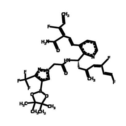 C=C/C(F)=C(\C=C\c1cccnc1[C@H](CC(=C)/C=C(F)\C=C\F)NC(=O)Cn1cc(B2OC(C)(C)C(C)(C)O2)c(C(F)(F)F)n1)C(N)=O